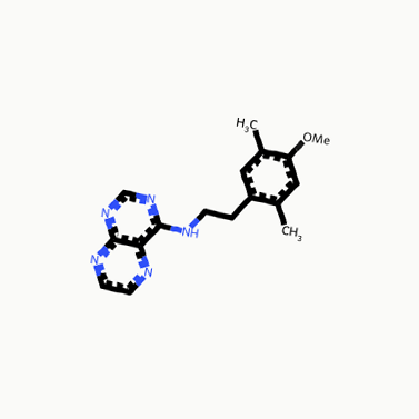 COc1cc(C)c(CCNc2ncnc3nccnc23)cc1C